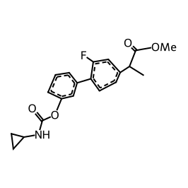 COC(=O)C(C)c1ccc(-c2cccc(OC(=O)NC3CC3)c2)c(F)c1